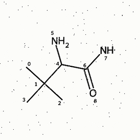 CC(C)(C)C(N)C([NH])=O